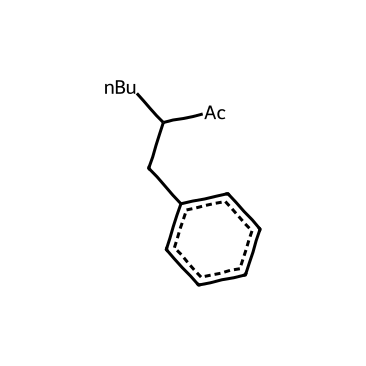 CCCCC(Cc1ccccc1)C(C)=O